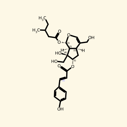 CCC(C)CC(=O)O[C@@H]1OC=C(CO)[C@H]2C[C@H](OC(=O)/C=C/c3ccc(O)cc3)[C@](O)(CO)[C@@H]12